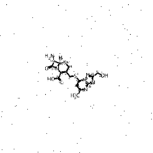 Cc1cc(SCC2=C(C(=O)O)N3C(=O)[C@@H](N)[C@H]3SC2)n2nc(CO)nc2n1